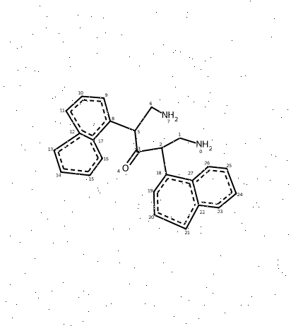 NCC(C(=O)C(CN)c1cccc2ccccc12)c1cccc2ccccc12